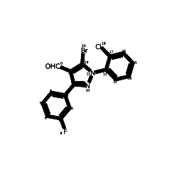 O=Cc1c(-c2cccc(F)c2)nn(-c2ccccc2Cl)c1Br